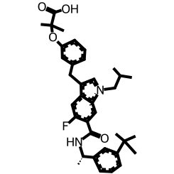 CC(C)Cn1cc(Cc2cccc(OC(C)(C)C(=O)O)c2)c2cc(F)c(C(=O)N[C@@H](C)c3cccc(C(C)(C)C)c3)cc21